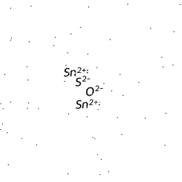 [O-2].[S-2].[Sn+2].[Sn+2]